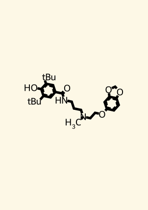 CN(CCCNC(=O)c1cc(C(C)(C)C)c(O)c(C(C)(C)C)c1)CCOc1ccc2c(c1)OCO2